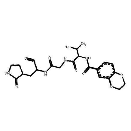 CC(C)C(NC(=O)c1ccc2c(c1)OCCO2)C(=O)NCC(=O)NC(C=O)CC1CCNC1=O